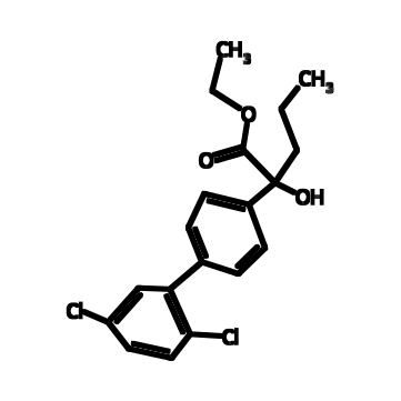 CCCC(O)(C(=O)OCC)c1ccc(-c2cc(Cl)ccc2Cl)cc1